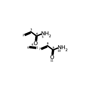 C=C.C=CC(N)=O.C=CC(N)=O